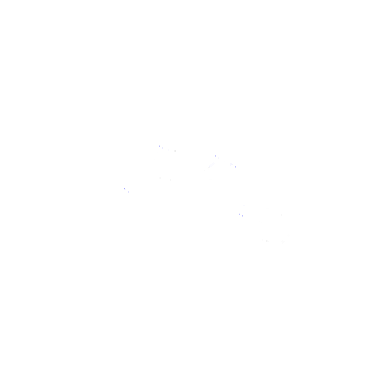 c1ccc2[nH]c(-c3cc(-c4cncc(CN5CCCC5)c4)[nH]n3)cc2c1